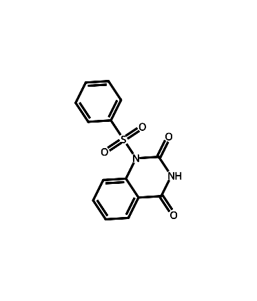 O=c1[nH]c(=O)n(S(=O)(=O)c2ccccc2)c2ccccc12